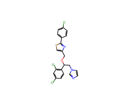 Clc1ccc(-c2nc(COC(Cn3ccnc3)c3ccc(Cl)cc3Cl)cs2)cc1